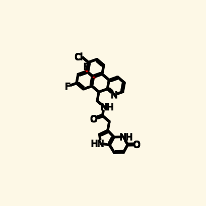 O=C(Cc1c[nH]c2ccc(=O)[nH]c12)NCC(c1cc(F)cc(F)c1)c1ncccc1-c1ccc(Cl)cc1